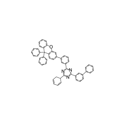 C1=CCC(c2nc(-c3cccc(-c4ccccc4)c3)nc(-c3cccc(-c4ccc5c(c4)Oc4ccccc4C5(c4ccccc4)c4ccccc4)c3)n2)C=C1